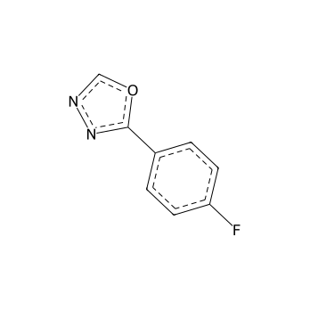 Fc1ccc(-c2nnco2)cc1